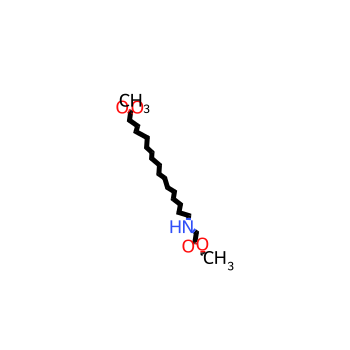 CCOC(=O)CNCCCCCCCCCCCCCCCCC(=O)OC